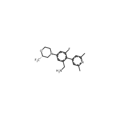 Cc1cc(-c2c(F)cc(N3CCO[C@@H](C(F)(F)F)C3)cc2CN)cc(C)n1